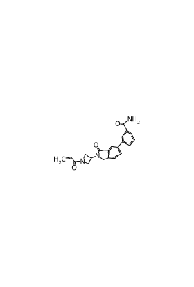 C=CC(=O)N1CC(N2Cc3ccc(-c4cccc(C(N)=O)c4)cc3C2=O)C1